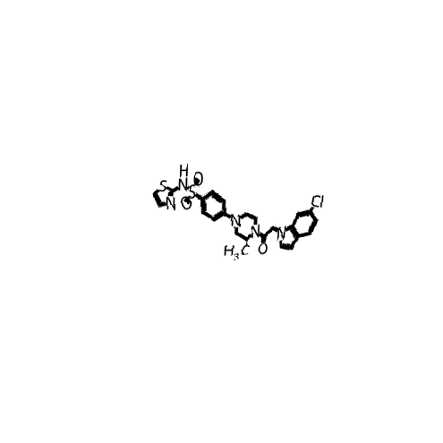 C[C@@H]1CN(c2ccc(S(=O)(=O)Nc3nccs3)cc2)CCN1C(=O)Cn1ccc2ccc(Cl)cc21